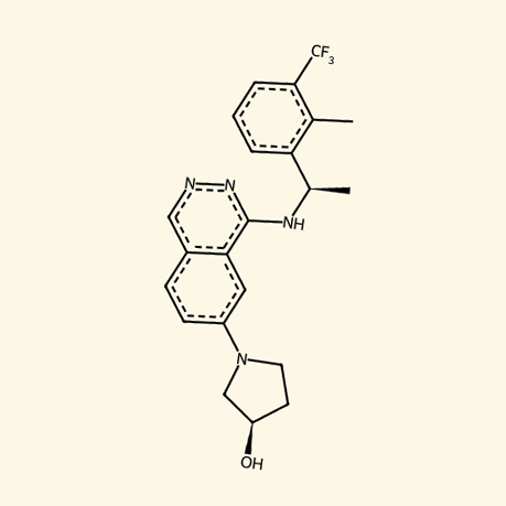 Cc1c([C@@H](C)Nc2nncc3ccc(N4CC[C@@H](O)C4)cc23)cccc1C(F)(F)F